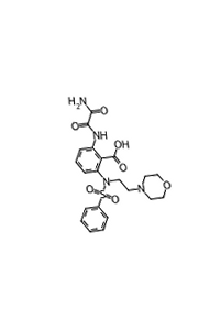 NC(=O)C(=O)Nc1cccc(N(CCN2CCOCC2)S(=O)(=O)c2ccccc2)c1C(=O)O